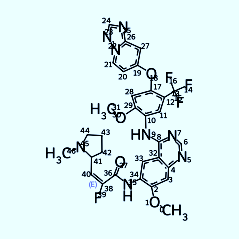 COc1cc2ncnc(Nc3cc(C(F)(F)F)c(Oc4ccn5ncnc5c4)cc3OC)c2cc1NC(=O)/C(F)=C\C1CCCN1C